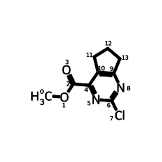 COC(=O)c1nc(Cl)nc2c1CCC2